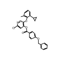 Cc1cccc(C2CC2)c1Oc1nnc(Cl)cc1OC(=O)c1ccc(OCc2ccccc2)cc1